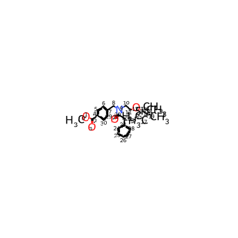 COC(=O)c1ccc(CN(CCO[Si](C)(C)C(C)(C)C)C(=O)Cc2ccccc2)cc1